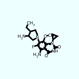 CCC1CCN(c2c(F)c(N)c3c(=O)[nH]c(=O)n(C4CC4)c3c2OC)CC1N